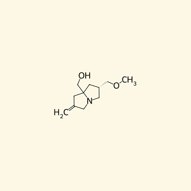 C=C1CN2C[C@@H](COC)CC2(CO)C1